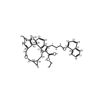 CCOC(=O)c1c(CCCOc2cccc3ccccc23)c2ccc(Cl)c3c2n1CC1CC1COCc1nn(C)c(C)c1-3